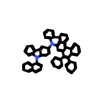 c1ccc(-c2ccccc2N(c2ccc3c(c2)c(-c2ccccc2)c(-c2ccccc2)c2ccccc23)c2ccc3c(c2)c2ccccc2n3-c2cccc3ccccc23)cc1